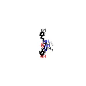 C[C@@H](NC(=O)C(Cc1ccc(O)cc1)N(C)C)C(=O)N/C=C/Cc1ccc(C#N)cc1